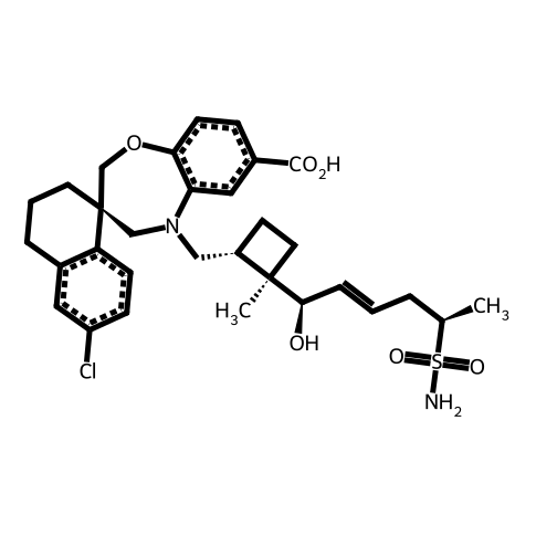 C[C@H](C/C=C/[C@@H](O)[C@]1(C)CC[C@H]1CN1C[C@@]2(CCCc3cc(Cl)ccc32)COc2ccc(C(=O)O)cc21)S(N)(=O)=O